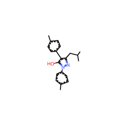 Cc1ccc(-c2c(CC(C)C)nn(-c3ccc(C)cc3)c2O)cc1